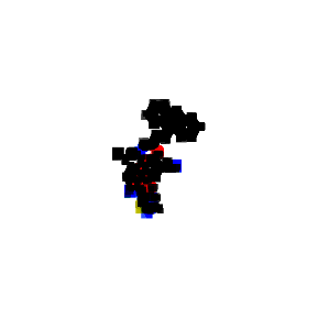 CN(Cc1ccc(F)cc1)CC(CCC12CCC(c3ccccc31)c1ccccc12)Oc1ccc(S(=O)(=O)Nc2ncns2)cc1C#N